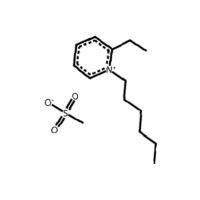 CCCCCC[n+]1ccccc1CC.CS(=O)(=O)[O-]